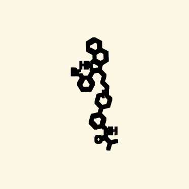 CC(C)C(=O)Nc1cccc(C2CCN(CCCc3c(-c4ccccc4Br)[nH]c4c3ccc3ccccc34)CC2)c1